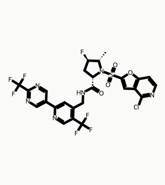 C[C@H]1[C@H](F)C[C@@H](C(=O)NCc2cc(-c3cnc(C(F)(F)F)nc3)ncc2C(F)(F)F)N1S(=O)(=O)c1cc2c(Cl)nccc2o1